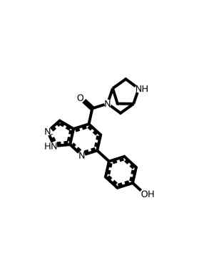 O=C(c1cc(-c2ccc(O)cc2)nc2[nH]ncc12)N1CC2CC1CN2